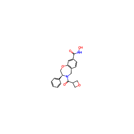 O=C(NO)c1ccc2c(c1)OC[C@H](c1ccccc1)N(C(=O)C1COC1)C2